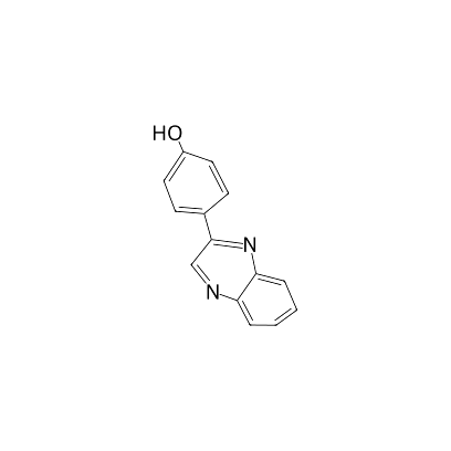 Oc1ccc(-c2cnc3ccccc3n2)cc1